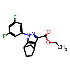 CCOC(=O)c1nn(-c2cc(F)cc(F)c2)c2c1C1CCC2C1